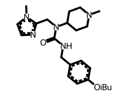 CC(C)COc1ccc(CNC(=O)N(Cc2nccn2C)C2CCN(C)CC2)cc1